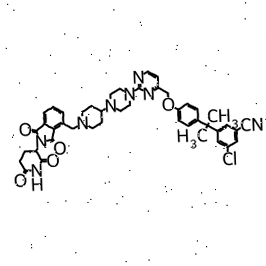 CC(C)(c1ccc(OCc2ccnc(N3CCN(C4CCN(Cc5cccc6c5C(=O)N(C5CCC(=O)NC5=O)C6=O)CC4)CC3)n2)cc1)c1cc(Cl)cc(C#N)c1